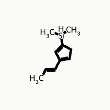 CC=CC1=CCC([SiH](C)C)=C1